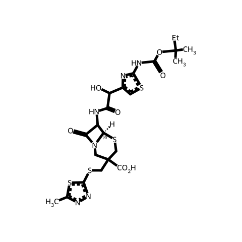 CCC(C)(C)OC(=O)Nc1nc(C(O)C(=O)NC2C(=O)N3CC(CSc4nnc(C)s4)(C(=O)O)CS[C@H]23)cs1